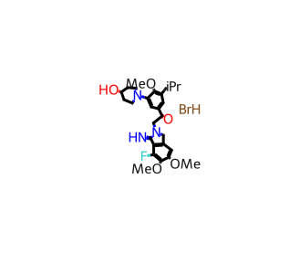 Br.COc1cc2c(c(F)c1OC)C(=N)N(CC(=O)c1cc(C(C)C)c(OC)c(N3CCC(O)CC3)c1)C2